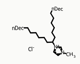 CCCCCCCCCCCCCCCCC(CCCCCCCCCCCCCCCC)[n+]1ccn(C)c1.[Cl-]